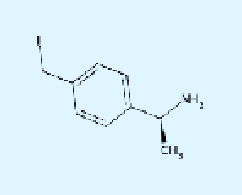 C[C@H](N)c1ccc(CI)cc1